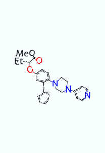 CCC(Oc1ccc(N2CCN(c3ccncc3)CC2)c(-c2ccccc2)c1)C(=O)OC